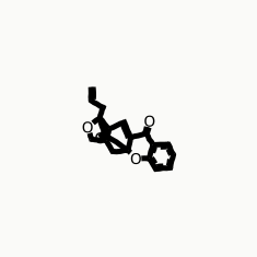 C=CCC12OCC3CC4(Oc5ccccc5C(=O)C4=CC31)C2=O